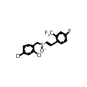 [O-][S+](C=Cc1ccc(F)cc1C(F)(F)F)Cc1ccc(Cl)cc1Cl